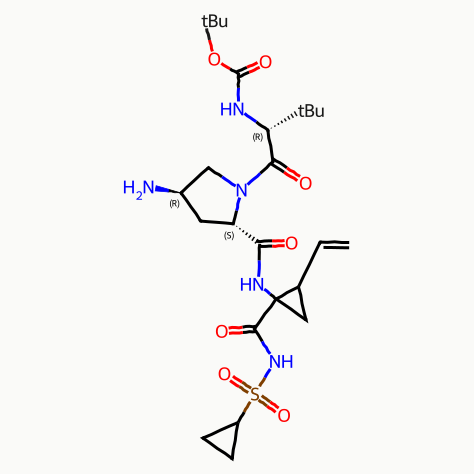 C=CC1CC1(NC(=O)[C@@H]1C[C@@H](N)CN1C(=O)[C@H](NC(=O)OC(C)(C)C)C(C)(C)C)C(=O)NS(=O)(=O)C1CC1